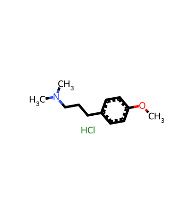 COc1ccc(CCCN(C)C)cc1.Cl